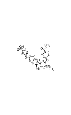 C=CC(=O)N1CCC(Oc2cc3c(Nc4ccc(Oc5nc(C(=O)O)cs5)cc4F)ncnc3cc2OC)CC1